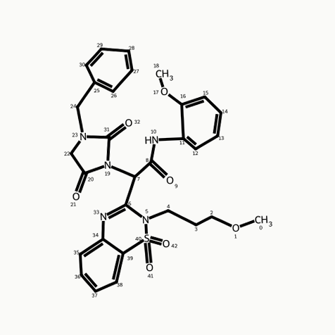 COCCCN1C(C(C(=O)Nc2ccccc2OC)N2C(=O)CN(Cc3ccccc3)C2=O)=Nc2ccccc2S1(=O)=O